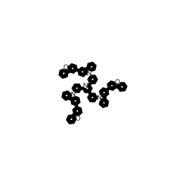 c1cc(-c2cc(-c3cccc(-n4c5ccccc5c5cc(-c6ccc7oc8ccccc8c7c6)ccc54)c3)nc(-c3cccc(-n4c5ccccc5c5cc(-c6ccc7oc8ccccc8c7c6)ccc54)c3)c2)cc(-n2c3ccccc3c3cc(-c4ccc5oc6ccccc6c5c4)ccc32)c1